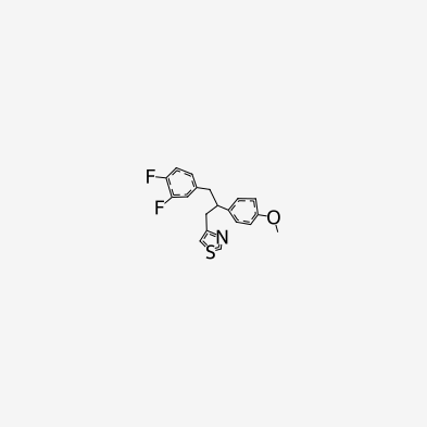 COc1ccc(C(Cc2ccc(F)c(F)c2)Cc2cscn2)cc1